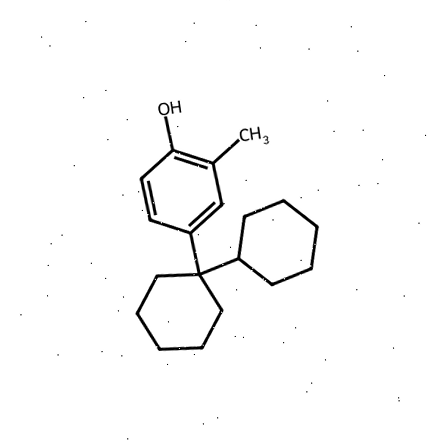 Cc1cc(C2(C3CCCCC3)CCCCC2)ccc1O